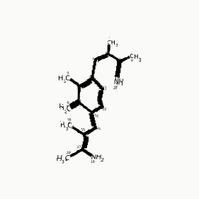 C=c1c(C)c(/C=C(/C)C(C)=N)cc/c1=C/C(C)=C(/C)N